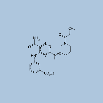 C=CC(=O)N1CCC[C@@H](Nc2nnc(C(N)=O)c(Nc3cccc(C(=O)OCC)c3)n2)C1